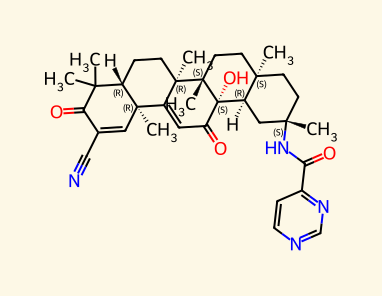 CC1(C)C(=O)C(C#N)=C[C@]2(C)C3=CC(=O)[C@]4(O)[C@@H]5C[C@@](C)(NC(=O)c6ccncn6)CC[C@]5(C)CC[C@@]4(C)[C@]3(C)CC[C@@H]12